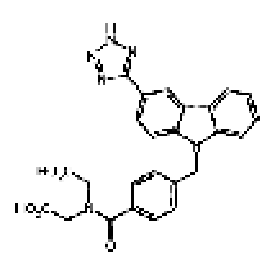 O=C(O)CN(CC(=O)O)C(=O)c1ccc(Cn2c3ccccc3c3cc(-c4nn[nH]n4)ccc32)cc1